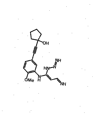 COc1ccc(C#CC2(O)CCCC2)cc1N/C(=C/C=N)NN=N